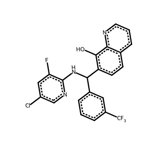 Oc1c(C(Nc2ncc(Cl)cc2F)c2cccc(C(F)(F)F)c2)ccc2cccnc12